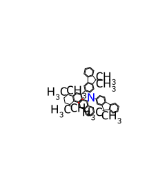 CC1(C)CCC(C)(C)c2cc(-c3cc4c(cc3N(c3ccc5c(c3)C(C)(C)c3ccccc3-5)c3cccc5ccccc35)C(C)(C)c3ccccc3-4)ccc21